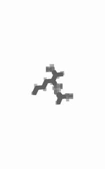 CC(=O)O.CCCCC(O)C(C)O